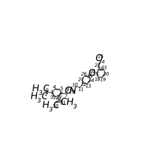 CC(C)c1ccc(CON=CCc2ccc(Oc3ccccc3CC=O)cc2)c(C(C)C)c1